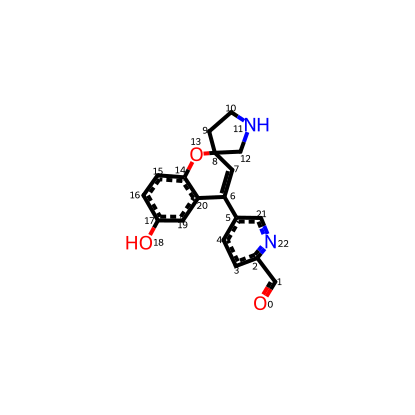 O=Cc1ccc(C2=CC3(CCNC3)Oc3ccc(O)cc32)cn1